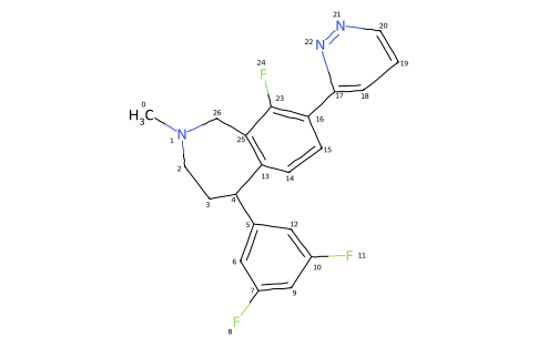 CN1CCC(c2cc(F)cc(F)c2)c2ccc(-c3cccnn3)c(F)c2C1